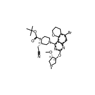 CO[C@H]1CN(C)C[C@@H]1Oc1nc(N2CCN(C(=O)OC(C)(C)C)[C@@H](CC#N)C2)c2c3c(c(Br)cc2n1)CCCO3